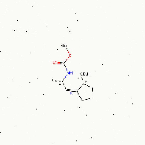 C[C@@H](/C=C1/CCC[C@H]1C(=O)O)NC(=O)OC(C)(C)C